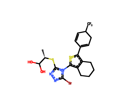 C[C@H](Sc1nnc(Br)n1-c1sc(C2=CCC(C(F)(F)F)C=C2)c2c1CCCC2)C(O)O